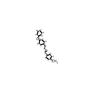 Cc1ccc(SOCCc2ccc(Oc3ccccc3)cc2)cc1